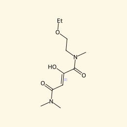 CCOCCN(C)C(=O)/C(O)=C/C(=O)N(C)C